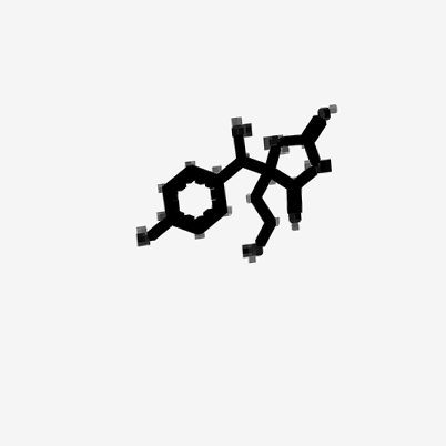 O=C1NC(=O)C(CCO)(C(O)c2ccc(Br)cc2)N1